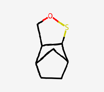 C1CC2CC1C1COSC21